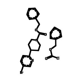 O=C(Cl)OCc1ccccc1.O=C(OCc1ccccc1)N1CCC(c2ccc(Br)cn2)CC1